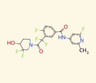 Cc1cc(NC(=O)c2ccc(F)c(C(F)(F)C(=O)N3CCC(O)C(F)(F)C3)c2)cc(F)n1